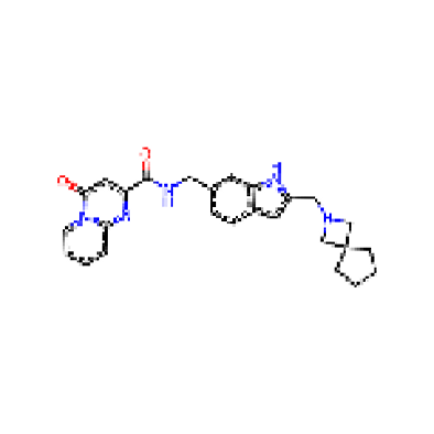 O=C(NCc1ccc2cc(CN3CC4(CCCC4)C3)[nH]c2c1)c1cc(=O)n2ccccc2n1